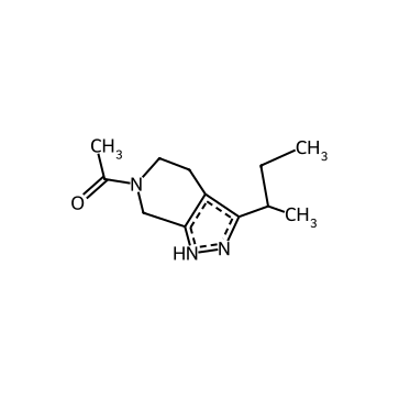 CCC(C)c1n[nH]c2c1CCN(C(C)=O)C2